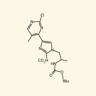 Cc1cnc(Cl)nc1-c1cn(CC(C)NC(=O)OC(C)(C)C)c(C(=O)O)n1